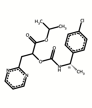 CC(C)OC(=O)C(Cc1ncccn1)OC(=O)N[C@@H](C)c1ccc(Cl)cc1